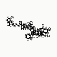 C[C@]12C=CC(=O)C=C1[C@@H](F)C[C@H]1[C@@H]3C[C@H]4O[C@@H](c5ccccc5F)O[C@@]4(C(=O)COP(=O)(O)OP(=O)(O)OCCNC(=O)CCCC(=O)ON4C(=O)CCC4=O)[C@@]3(C)C[C@H](O)[C@@]12F